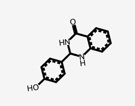 O=C1NC(c2ccc(O)cc2)Nc2ccccc21